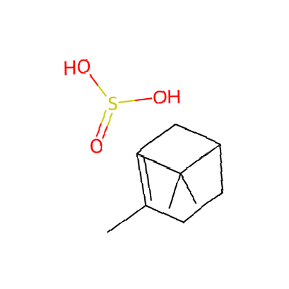 CC1=C2CC(CC1)C2(C)C.O=S(O)O